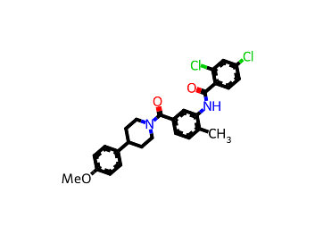 COc1ccc(C2CCN(C(=O)c3ccc(C)c(NC(=O)c4ccc(Cl)cc4Cl)c3)CC2)cc1